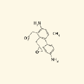 C.Nc1ccc(-c2ccc(N)c(CC3CO3)c2CC2CO2)cc1